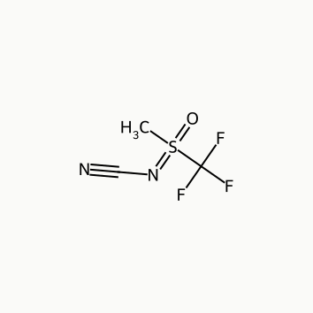 CS(=O)(=NC#N)C(F)(F)F